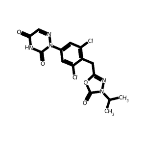 CC(C)n1nc(Cc2c(Cl)cc(-n3ncc(=O)[nH]c3=O)cc2Cl)oc1=O